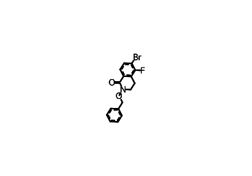 O=C1c2ccc(Br)c(F)c2CCN1OCc1ccccc1